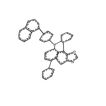 c1ccc(-c2ccc(N(c3ccc(-c4cccc5ccccc45)cc3)c3ccccc3-c3cccc4ncoc34)cc2)cc1